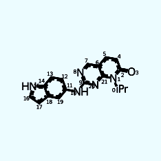 CC(C)n1c(=O)ccc2cnc(Nc3ccc4[nH]ccc4c3)nc21